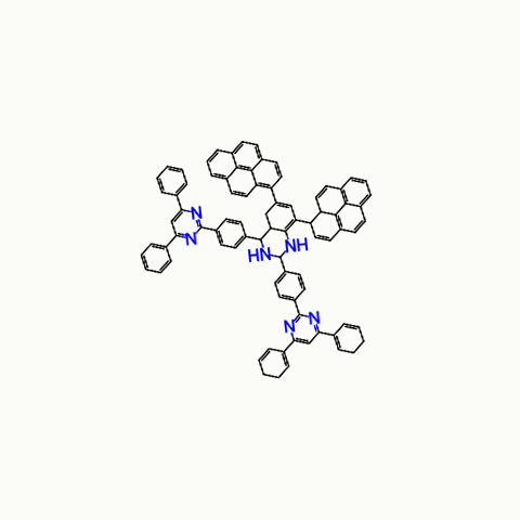 C1=CC(c2cc(C3=CCCC=C3)nc(-c3ccc(C4NC5=C(C6C=Cc7ccc8cccc9c8c7C6C=C9)C=C(c6ccc7ccc8cccc9ccc6c7c89)CC5C(c5ccc(-c6nc(-c7ccccc7)cc(-c7ccccc7)n6)cc5)N4)cc3)n2)=CCC1